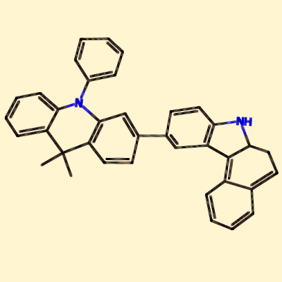 CC1(C)c2ccccc2N(c2ccccc2)c2cc(-c3ccc4c(c3)C3=c5ccccc5=CCC3N4)ccc21